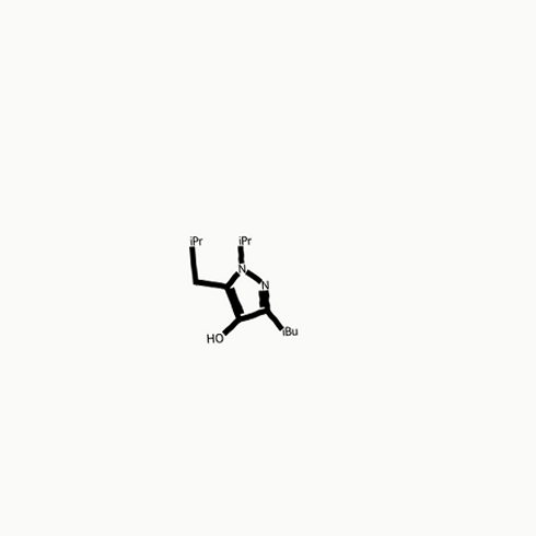 CCC(C)c1nn(C(C)C)c(CC(C)C)c1O